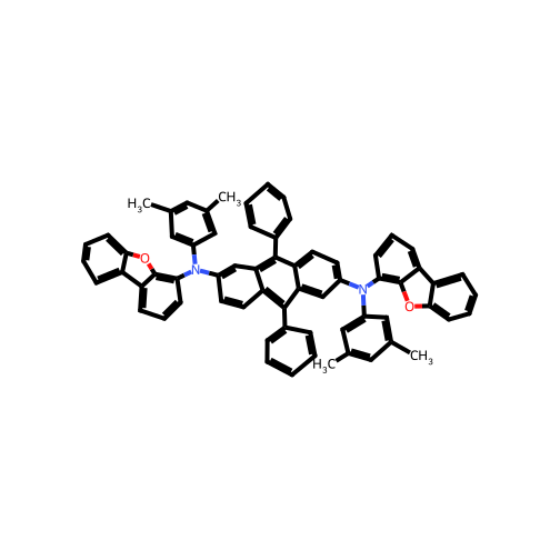 Cc1cc(C)cc(N(c2ccc3c(-c4ccccc4)c4cc(N(c5cc(C)cc(C)c5)c5cccc6c5oc5ccccc56)ccc4c(-c4ccccc4)c3c2)c2cccc3c2oc2ccccc23)c1